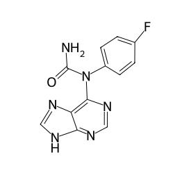 NC(=O)N(c1ccc(F)cc1)c1ncnc2[nH]cnc12